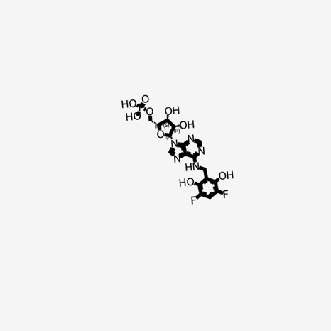 O=P(O)(O)OC[C@H]1O[C@@H](n2cnc3c(NCc4c(O)c(F)cc(F)c4O)ncnc32)[C@H](O)[C@@H]1O